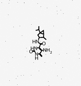 C=C1NC(=O)NC(C(=O)NC2CC3(C(C)C)CC3C2C)=C1N